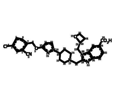 N#Cc1cc(Cl)ccc1COc1ccn(C2CCN(Cc3nc4ccc(C(=O)O)cc4n3C[C@@H]3CCO3)CC2)n1